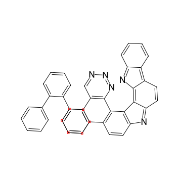 c1ccc(-c2ccccc2-c2ccccc2-c2cnnnc2-c2c(-c3ccccc3)ccc3c2-c2c4c(ccc2=N3)=c2ccccc2=N4)cc1